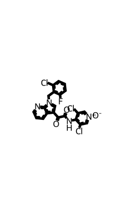 O=C(Nc1c(Cl)c[n+]([O-])cc1Cl)C(=O)c1cn(Cc2c(F)cccc2Cl)c2ncccc12